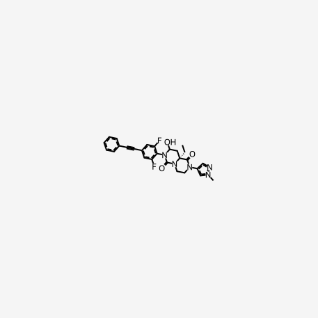 CC[C@@]12CC(O)N(c3c(F)cc(C#Cc4ccccc4)cc3F)C(=O)N1CCN(c1cnn(C)c1)C2=O